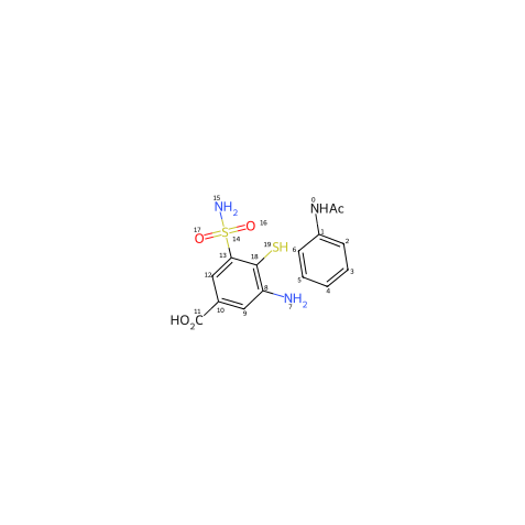 CC(=O)Nc1ccccc1.Nc1cc(C(=O)O)cc(S(N)(=O)=O)c1S